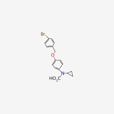 O=C(O)N(c1ccc(OCc2ccc(Br)cc2)cc1)C1CC1